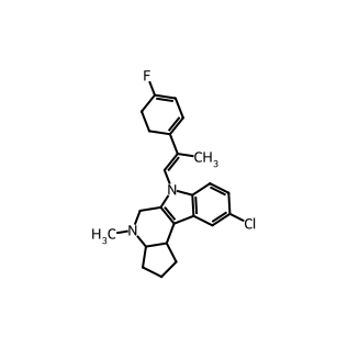 C/C(=C\n1c2c(c3cc(Cl)ccc31)C1CCCC1N(C)C2)C1=CC=C(F)CC1